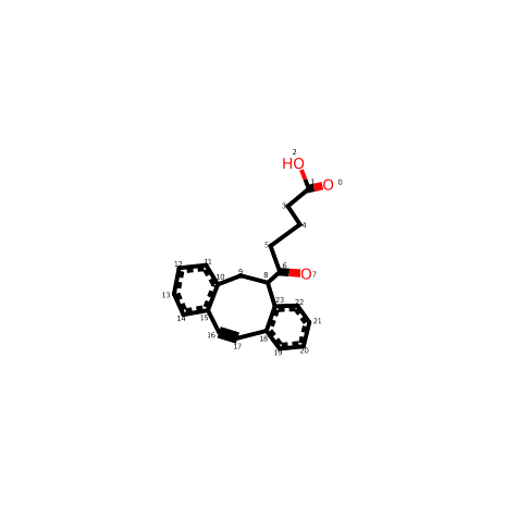 O=C(O)CCCC(=O)C1Cc2ccccc2C#Cc2ccccc21